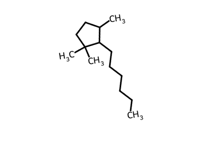 CCCCCCC1C(C)CCC1(C)C